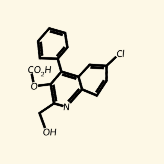 O=C(O)Oc1c(CO)nc2ccc(Cl)cc2c1-c1ccccc1